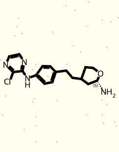 N[C@@H]1CC(CCc2ccc(Nc3nccnc3Cl)cc2)CCO1